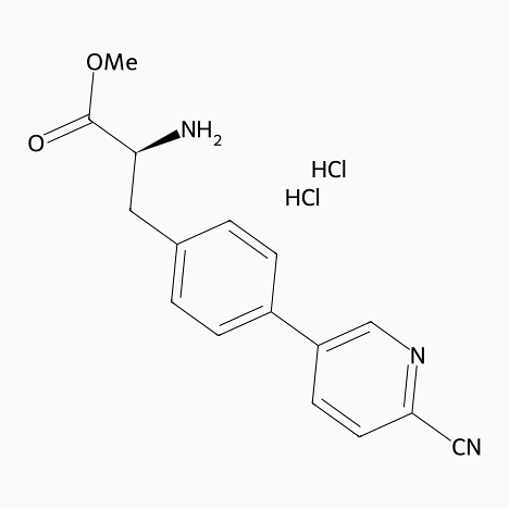 COC(=O)[C@@H](N)Cc1ccc(-c2ccc(C#N)nc2)cc1.Cl.Cl